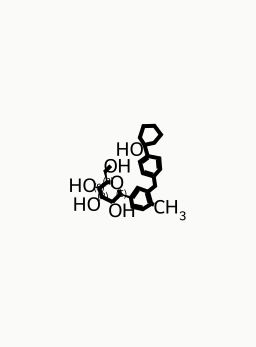 Cc1ccc([C@@H]2O[C@H](CO)[C@@H](O)[C@H](O)C2O)cc1Cc1ccc(C2(O)CCCCC2)cc1